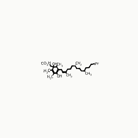 CC(=CCC1=C(O)C(C)=C(C)C(O)(CC(=O)O)C1C)CCC[C@H](C)CCC[C@H](C)CCCC(C)C